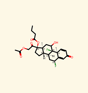 CCCC(=O)O[C@]1(C(=O)COC(C)=O)CC[C@H]2[C@@H]3C[C@H](F)C4=CC(=O)C=C[C@]4(C)[C@@]3(F)C(O)C[C@@]21C